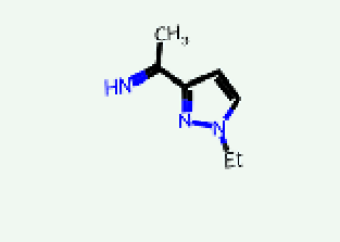 CCn1ccc(C(C)=N)n1